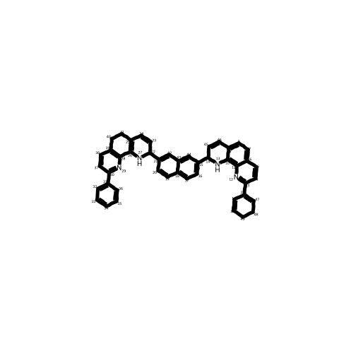 C1=CC(c2ccc3ccc4c(c3n2)NC(c2ccc3ccc(C5C=CC6=C(N5)c5nc(-c7ccccc7)ccc5CC6)cc3c2)C=C4)=CCC1